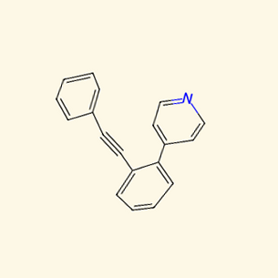 C(#Cc1ccccc1-c1ccncc1)c1ccccc1